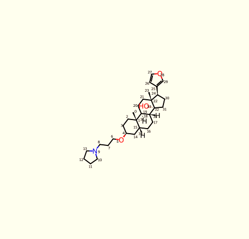 C[C@]12CC[C@H](OCCCN3CCCC3)C[C@H]1CC[C@@H]1[C@@H]2CC[C@]2(C)[C@@H](c3ccoc3)CC[C@@]12O